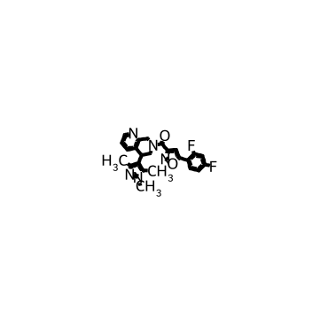 Cc1nn(C)c(C)c1C1CN(C(=O)c2cc(-c3ccc(F)cc3F)on2)Cc2ncccc21